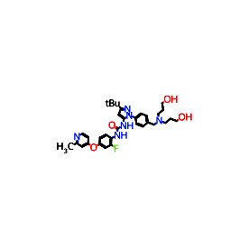 Cc1cc(Oc2ccc(NC(=O)Nc3cc(C(C)(C)C)nn3-c3ccc(CN(CCCO)CCCO)cc3)c(F)c2)ccn1